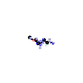 CN(C)CCNc1cc(F)cc(-c2ccnc3[nH]c(-c4n[nH]c5cnc(-c6cncc(OCCN7CCCC7)c6)cc45)nc23)c1